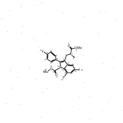 COC(=O)[C@@H](C)Cc1c(-c2ccc(F)cc2)n(C(=O)OC(C)(C)C)c2c(F)cc(F)cc12